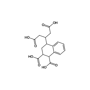 O=C(O)CC(CC(=O)O)C1CC(C(=O)O)C(C(=O)O)c2ccccc21